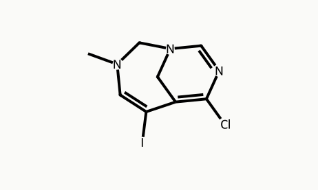 CN1C=C(I)C2=C(Cl)N=CN(C2)C1